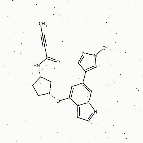 CC#CC(=O)N[C@H]1CC[C@@H](Oc2cc(-c3cnn(C)c3)cn3nccc23)C1